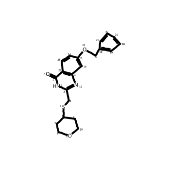 O=c1[nH]c(CSC2CCOCC2)nc2cc(OCc3ccccc3)ccc12